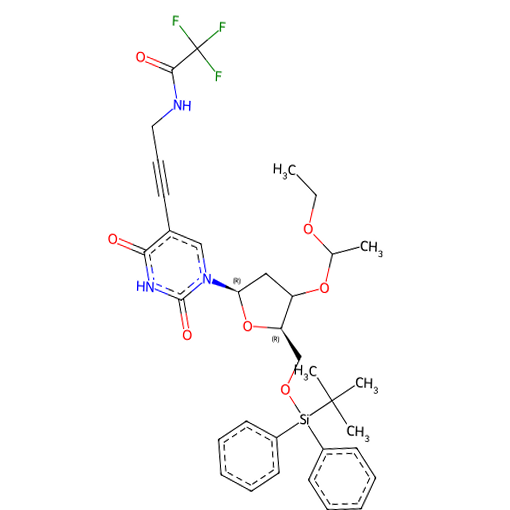 CCOC(C)OC1C[C@H](n2cc(C#CCNC(=O)C(F)(F)F)c(=O)[nH]c2=O)O[C@@H]1CO[Si](c1ccccc1)(c1ccccc1)C(C)(C)C